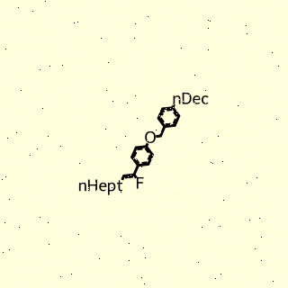 CCCCCCCC=C(F)c1ccc(OCc2ccc(CCCCCCCCCC)cc2)cc1